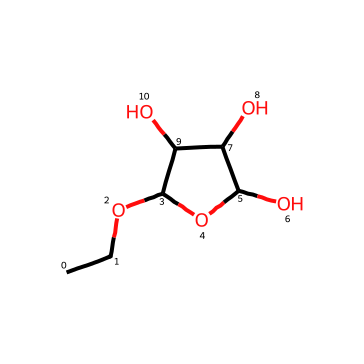 CCOC1OC(O)C(O)C1O